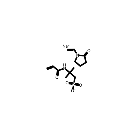 C=CC(=O)NC(C)(C)CS(=O)(=O)[O-].C=CN1CCCC1=O.[Na+]